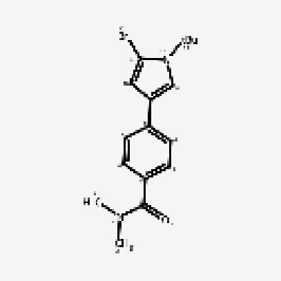 CN(C)C(=O)c1ccc(-c2cc(Br)n(C(C)(C)C)c2)cc1